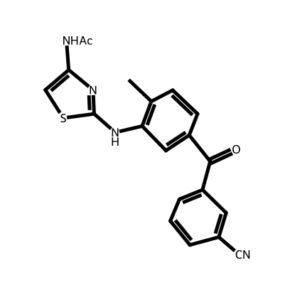 CC(=O)Nc1csc(Nc2cc(C(=O)c3cccc(C#N)c3)ccc2C)n1